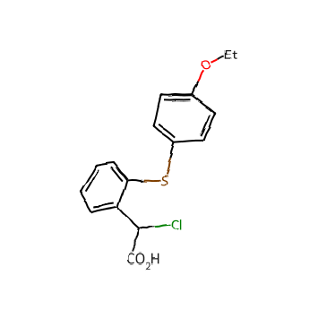 CCOc1ccc(Sc2ccccc2C(Cl)C(=O)O)cc1